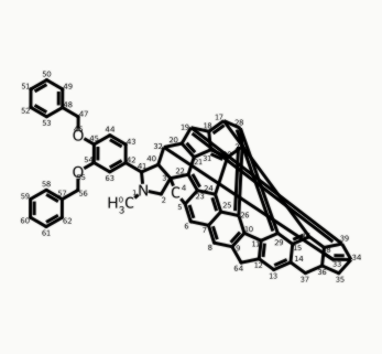 CN1CC23Cc4cc5cc6c7c8c(cc9c%10c%11c%12c%13c%14c(c%15c2c4c2c5c7c(c%12c%108)c2c%15%13)C(C=C2CC(C9)C%11C=%142)C3C1c1ccc(OCc2ccccc2)c(OCc2ccccc2)c1)C6